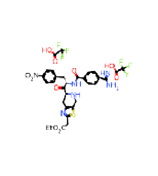 CCOC(=O)Cc1nc2c(s1)CNC(C(=O)[C@H](Cc1ccc([N+](=O)[O-])cc1)NC(=O)c1ccc(C(=N)N)cc1)C2.O=C(O)C(F)(F)F.O=C(O)C(F)(F)F